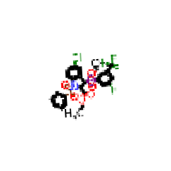 CCOC(=O)C1C(P(=O)(OCC)c2cc(F)cc(C(F)(F)F)c2)c2cc(Cl)ccc2N1S(=O)(=O)c1ccccc1